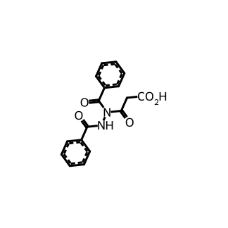 O=C(O)CC(=O)N(NC(=O)c1ccccc1)C(=O)c1ccccc1